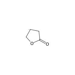 O=C1C[CH]CO1